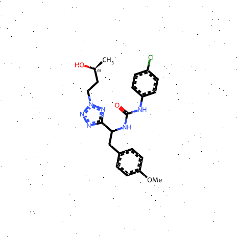 COc1ccc(CC(NC(=O)Nc2ccc(Cl)cc2)c2nnn(CC[C@H](C)O)n2)cc1